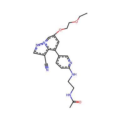 CCOCCOc1cc(-c2ccc(NCCNC(C)=O)nc2)c2c(C#N)cnn2c1